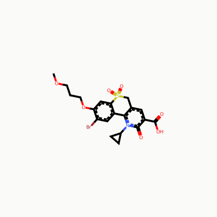 COCCCOc1cc2c(cc1Br)-c1c(cc(C(=O)O)c(=O)n1C1CC1)CS2(=O)=O